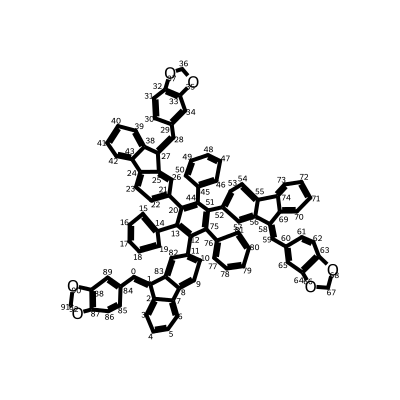 C(=C1/c2ccccc2-c2ccc(-c3c(-c4ccccc4)c(-c4ccc5c(c4)/C(=C/c4ccc6c(c4)OCO6)c4ccccc4-5)c(-c4ccccc4)c(-c4ccc5c(c4)/C(=C/c4ccc6c(c4)OCO6)c4ccccc4-5)c3-c3ccccc3)cc21)/c1ccc2c(c1)OCO2